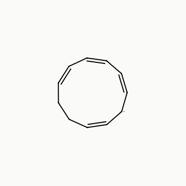 [CH]1\C=C/C=C\C=C/CC/C=C\1